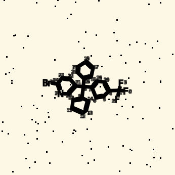 FC(F)(F)c1ccc(C(c2ccccc2)(c2ccccc2)c2ccc(Br)nc2)cc1